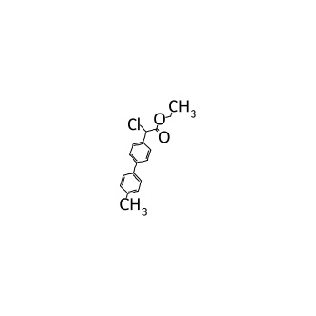 CCOC(=O)C(Cl)c1ccc(-c2ccc(C)cc2)cc1